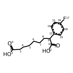 O=C(O)CCCCCCC(C(=O)O)c1ccc(F)cc1